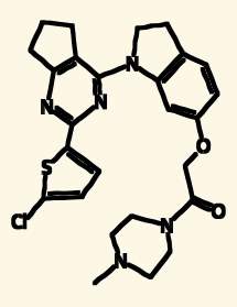 CN1CCN(C(=O)COc2ccc3c(c2)N(c2nc(-c4ccc(Cl)s4)nc4c2CCC4)CC3)CC1